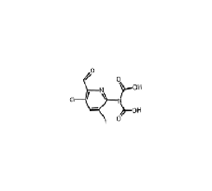 O=Cc1nc(N(C(=O)O)C(=O)O)c(F)cc1Cl